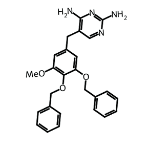 COc1cc(Cc2cnc(N)nc2N)cc(OCc2ccccc2)c1OCc1ccccc1